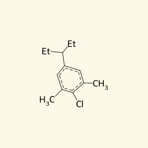 CCC(CC)c1cc(C)c(Cl)c(C)c1